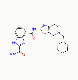 NC(=O)c1nc2c(C(=O)Nc3nc4c(s3)CN(CC3CCCCC3)CC4)cccc2[nH]1